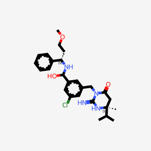 COCC[C@H](NC(O)c1cc(Cl)cc(CN2C(=N)N[C@](C)(C(C)C)CC2=O)c1)c1ccccc1